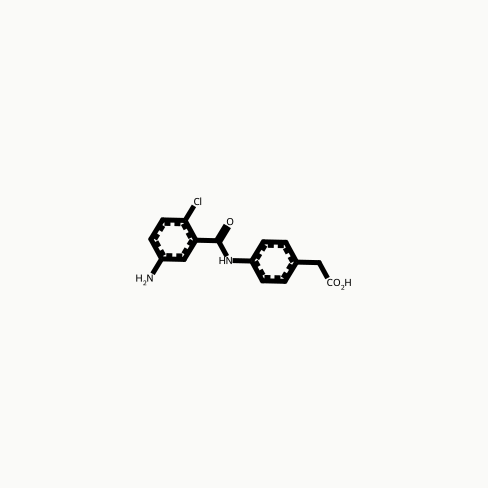 Nc1ccc(Cl)c(C(=O)Nc2ccc(CC(=O)O)cc2)c1